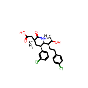 C[C@@H](O)[C@@H](CCc1ccc(Cl)cc1)[C@H]1NC(=O)[C@](C)(CC(=O)O)C[C@@H]1c1cccc(Cl)c1